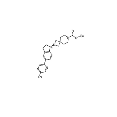 CCC(C)OC(=O)N1CCC2(CC1)CN([C@@H]1CCc3cc(-c4cnc(C#N)cn4)ccc31)C2